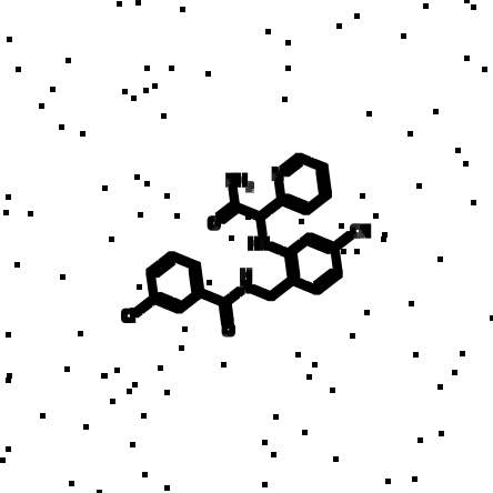 N#Cc1ccc(CNC(=O)c2cccc(Cl)c2)c(NC(C(N)=O)c2ccccn2)c1